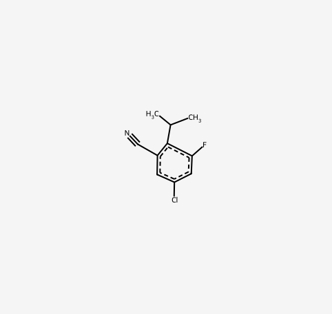 CC(C)c1c(F)cc(Cl)cc1C#N